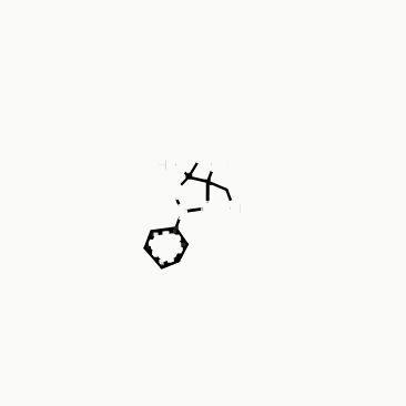 CC1(C)OB(c2ccccc2)OC1(C)CC=O